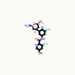 C[C@@]1(c2cc(NC(=O)c3ncc(C#N)cc3F)cc(F)c2F)C[C@@H](C(F)(F)F)ON(N)C1